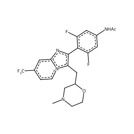 CC(=O)Nc1cc(F)c(-c2nc3cc(C(F)(F)F)ccn3c2CC2CN(C)CCO2)c(F)c1